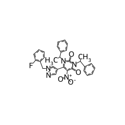 CC(c1ccccc1)n1c(-c2cnn(Cc3ccccc3F)c2)c([N+](=O)[O-])c(=O)n(C(C)c2ccccc2)c1=O